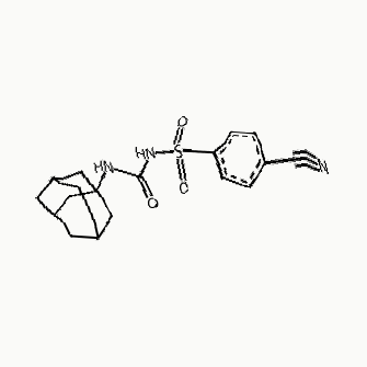 N#Cc1ccc(S(=O)(=O)NC(=O)NC23CC4CC(CC(C4)C2)C3)cc1